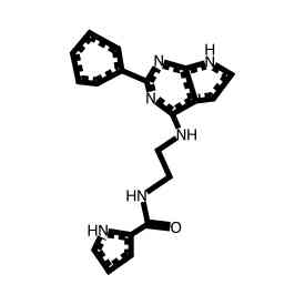 O=C(NCCNc1nc(-c2ccccc2)nc2[nH]ccc12)c1ccc[nH]1